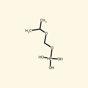 CC(C)OCO[PH](O)(O)O